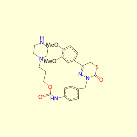 COc1ccc(C2=NN(Cc3ccc(NC(=O)OCCCN4CCNCC4)cc3)C(=O)SC2)cc1OC